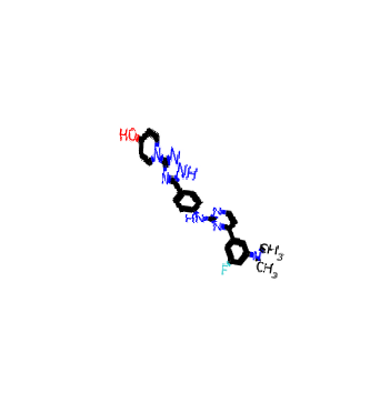 CN(C)c1cc(F)cc(-c2ccnc(Nc3ccc(-c4nc(N5CCC(O)CC5)n[nH]4)cc3)n2)c1